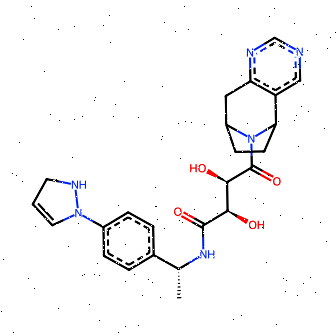 C[C@@H](NC(=O)[C@H](O)[C@@H](O)C(=O)N1C2CCC1c1cncnc1C2)c1ccc(N2C=CCN2)cc1